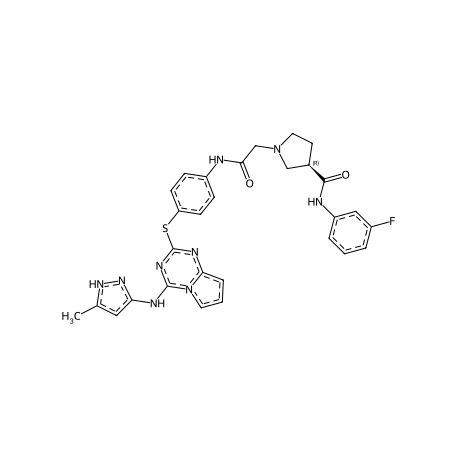 Cc1cc(Nc2nc(Sc3ccc(NC(=O)CN4CC[C@@H](C(=O)Nc5cccc(F)c5)C4)cc3)nc3cccn23)n[nH]1